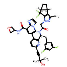 CC(C)(O)C#Cc1ccc(-c2cc(C(=O)NC3COC3)c3nccn3c2)c([C@H](Cc2cc(F)cc(F)c2)NC(=O)Cn2nc(C(F)(F)F)c3c2C(F)(F)[C@@H]2CC[C@H]32)n1